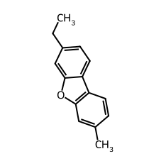 CCc1ccc2c(c1)oc1cc(C)ccc12